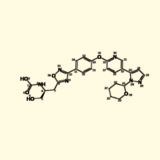 O=C(O)N[C@H](CO)Cc1nc(-c2ccc(Oc3ccc(-c4ccnn4C4CCCCO4)cn3)cc2)no1